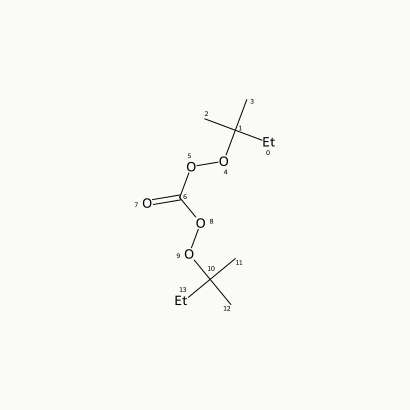 CCC(C)(C)OOC(=O)OOC(C)(C)CC